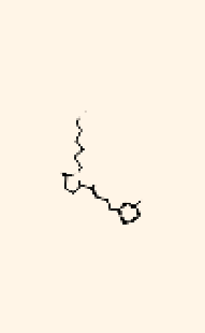 N#CCCCCCCN1C(=O)CCC1/C(O)=C/CCc1cccc(Cl)c1